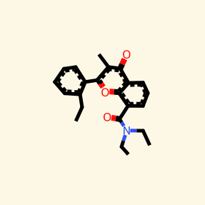 CCc1ccccc1-c1oc2c(C(=O)N(CC)CC)cccc2c(=O)c1C